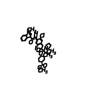 COC(=O)[C@H]1CC[C@H](OC(C(=O)Cc2cc(Cl)c(NC(=O)c3cn(C)c4ccccc34)cc2F)(C(C)C)N2CCCC2)CC1